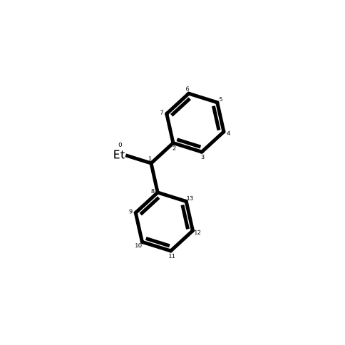 CCC(c1ccccc1)c1ccccc1